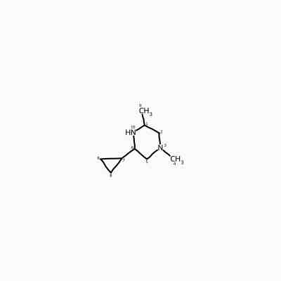 CC1CN(C)CC(C2CC2)N1